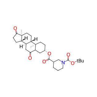 CC(C)(C)OC(=O)N1CCCC(C(=O)O[C@H]2CC[C@@]3(C)C(C2)C(=O)C[C@@H]2[C@@H]3CC[C@]3(C)C(=O)CC[C@@H]23)C1